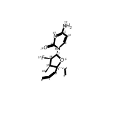 C=C=C[C@]1(CC)O[C@@H](n2ccc(N)nc2=O)[C@H](F)[C@@H]1C